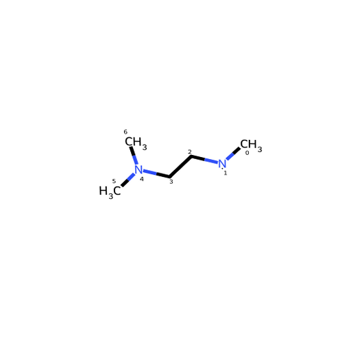 C[N]CCN(C)C